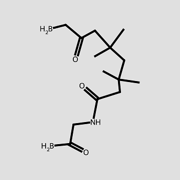 BCC(=O)CC(C)(C)CC(C)(C)CC(=O)NCC(B)=O